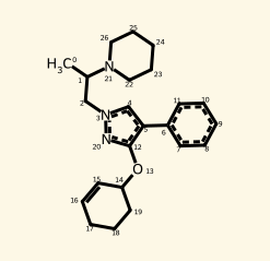 CC(Cn1cc(-c2ccccc2)c(OC2C=CCCC2)n1)N1CCCCC1